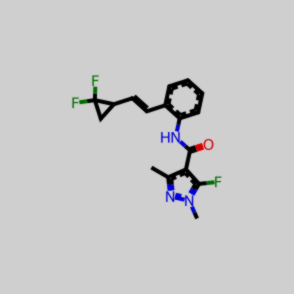 Cc1nn(C)c(F)c1C(=O)Nc1ccccc1C=CC1CC1(F)F